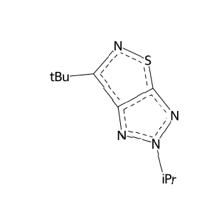 CC(C)n1nc2snc(C(C)(C)C)c2n1